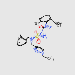 CC(C)c1cccc(C(C)C)c1NC(=O)NS(=O)(=O)N(Cc1ccccc1)Cc1ccn(CC(F)(F)F)n1